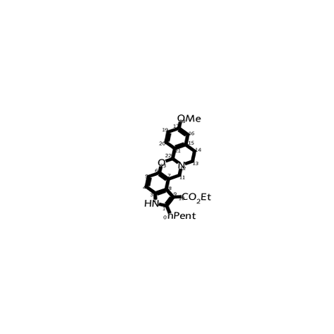 CCCCCc1[nH]c2ccc3c(c2c1C(=O)OCC)CN1CCc2cc(OC)ccc2C1O3